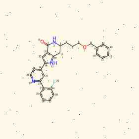 O=C1NC(CCCOCc2ccccc2)Cc2[nH]c(-c3ccnc(-c4ccccc4F)c3)cc21